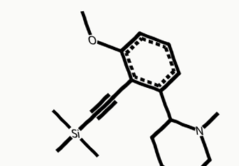 COc1cccc(C2CCCCN2C)c1C#C[Si](C)(C)C